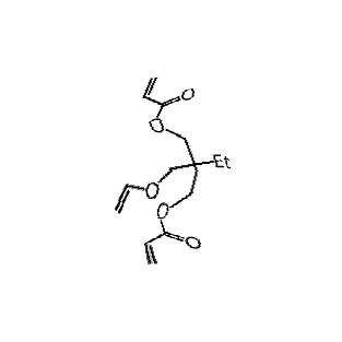 C=COCC(CC)(COC(=O)C=C)COC(=O)C=C